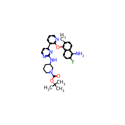 Cc1ccc2c(N)c(F)ccc2c1Oc1ncccc1-c1ccnc(NC2CCCN(C(=O)OC(C)(C)C)C2)n1